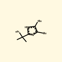 CCCC(C)(C)c1nc(C(C)CC)c(C(C)(C)C)[nH]1